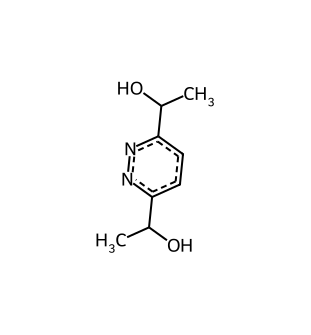 CC(O)c1ccc(C(C)O)nn1